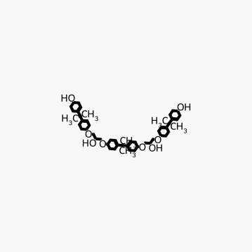 CC(C)(C1=CCC(O)CC1)C1=CCC(OCC(O)COC2CC=C(C(C)(C)C3=CCC(OCC(O)COC4CC=C(C(C)(C)C5=CCC(O)CC5)CC4)CC3)CC2)CC1